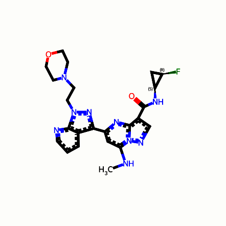 CNc1cc(-c2nn(CCN3CCOCC3)c3ncccc23)nc2c(C(=O)N[C@H]3C[C@H]3F)cnn12